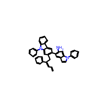 C=C/C=C(\Cc1cc2c(cc1-c1cc3ccn(-c4ccccc4)c3cc1N)c1ccccc1n2-c1ccccc1)c1ccccc1